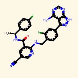 C[C@H](NC(=O)c1cc(C#N)cnc1NCc1ccc(-c2n[nH]c3ncnc(N)c23)cc1F)c1ccc(F)cc1